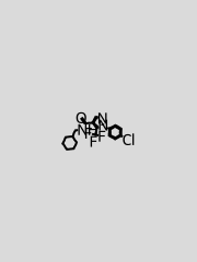 O=C(NCC1CCCCC1)c1cnn(-c2ccc(Cl)cc2)c1C(F)(F)F